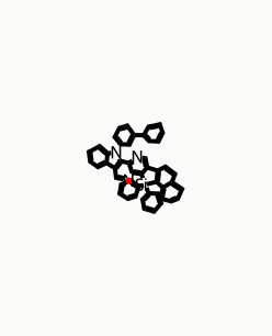 c1ccc(-c2cccc(-n3c4ccccc4c4cnc5c6c(cnc5c43)-c3ccc4ccccc4c3[Si]6(c3ccccc3)c3ccccc3)c2)cc1